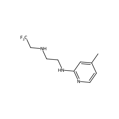 Cc1ccnc(NCCNCC(F)(F)F)c1